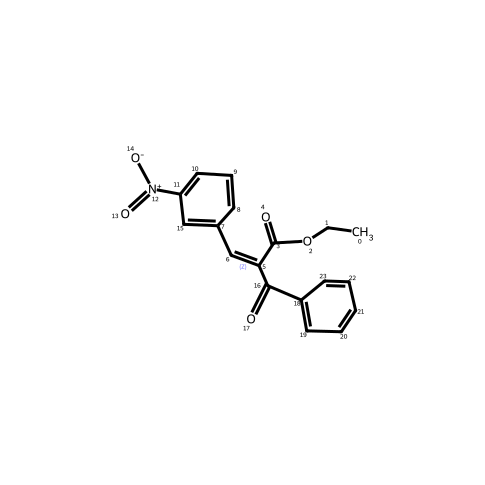 CCOC(=O)/C(=C\c1cccc([N+](=O)[O-])c1)C(=O)c1ccccc1